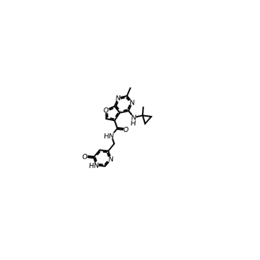 Cc1nc(NC2(C)CC2)c2c(C(=O)NCc3cc(=O)[nH]cn3)coc2n1